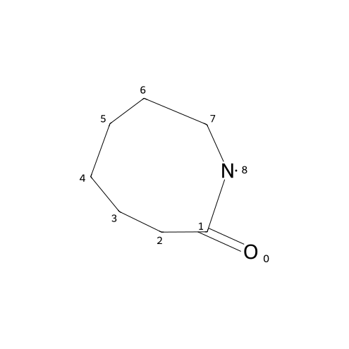 O=C1CCCCCC[N]1